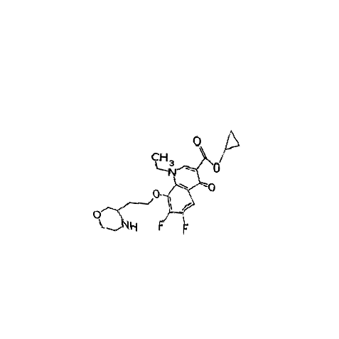 CCn1cc(C(=O)OC2CC2)c(=O)c2cc(F)c(F)c(OCCC3COCCN3)c21